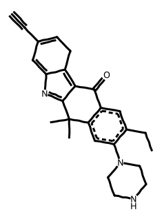 C#CC1=CCC2=C3C(=O)c4cc(CC)c(N5CCNCC5)cc4C(C)(C)C3=NC2=C1